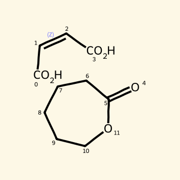 O=C(O)/C=C\C(=O)O.O=C1CCCCCO1